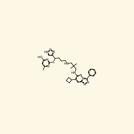 Cc1cc(O)nc(SC(CCCNCC(C)(C)CNc2nn3c(-c4ccccc4)nnc3cc2C2CCC2)c2c[nH]nn2)n1